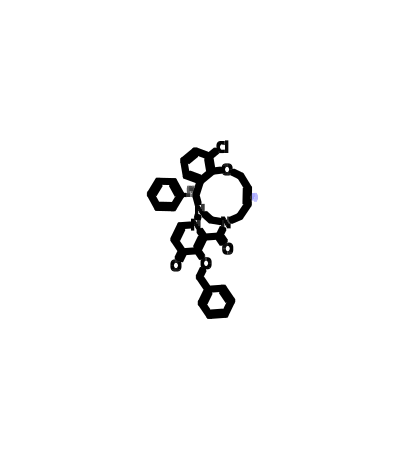 O=C1c2c(OCc3ccccc3)c(=O)ccn2N2CN1C/C=C\COc1c(Cl)cccc1[C@H]2c1ccccc1